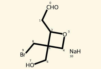 O=CCC1OCC1(CO)CBr.[NaH]